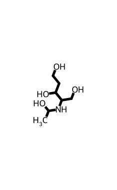 CC(O)NC(CO)C(O)CCO